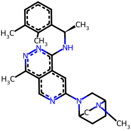 Cc1cccc([C@@H](C)Nc2nnc(C)c3cnc(N4CC5CCC4CN5C)cc23)c1C